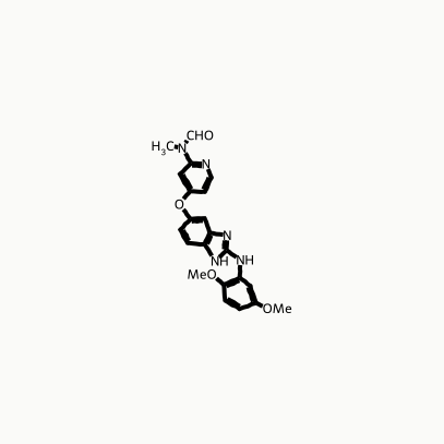 COc1ccc(OC)c(Nc2nc3cc(Oc4ccnc(N(C)C=O)c4)ccc3[nH]2)c1